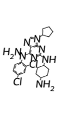 NC1CCC(Nc2nc(N(N)c3ccc(Cl)cc3Cl)c3ncn(C4CCCC4)c3n2)CC1